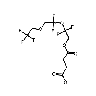 O=C(O)CCC(=O)OCC(F)(F)OC(F)(F)COCC(F)(F)F